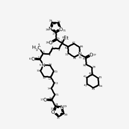 CCC(CCCC(C)C(=O)N1CCC(CCCC(=O)c2ncco2)CC1)(C(=O)c1ncco1)C1CCN(C(=O)CCC2CCCCC2)CC1